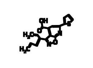 C=C/C=C(\C=C)c1noc2nc(-c3cccs3)cc(C(=O)O)c12